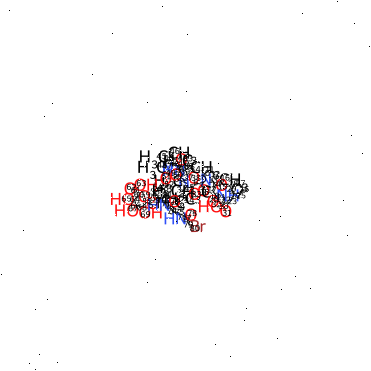 CC[C@@H](C)[C@@H]([C@@H](CC(=O)N1CCC[C@H]1[C@H](OC)[C@@H](C)C(=O)N[C@@H](Cc1ccccc1)C(=O)O)OC)N(C)C(=O)[C@@H](NC(=O)[C@H](C(C)C)N(C)C(=O)OCc1ccc(O[C@@H]2O[C@H](C(=O)O)[C@@H](O)[C@H](O)[C@H]2O)c(NC(=O)CCNC(=O)CBr)c1)C(C)C